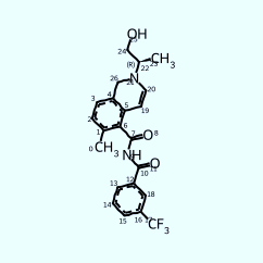 Cc1ccc2c(c1C(=O)NC(=O)c1cccc(C(F)(F)F)c1)C=CN([C@H](C)CO)C2